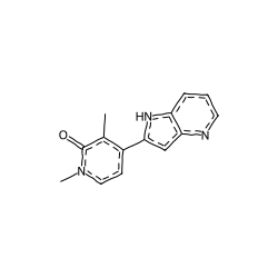 Cc1c(-c2cc3ncccc3[nH]2)ccn(C)c1=O